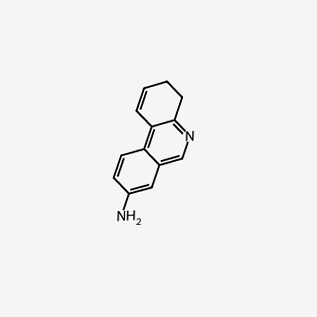 Nc1ccc2c3c(ncc2c1)CCC=C3